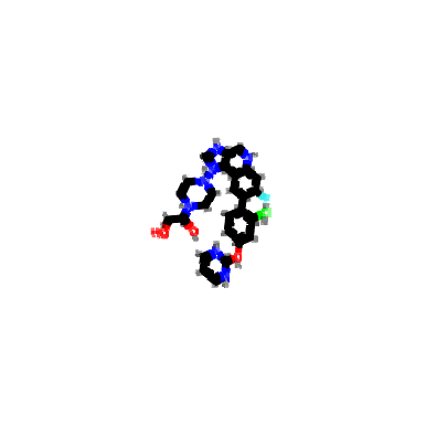 O=C(CO)N1CCN(n2cnc3cnc4cc(F)c(-c5ccc(Oc6ncccn6)cc5Cl)cc4c32)CC1